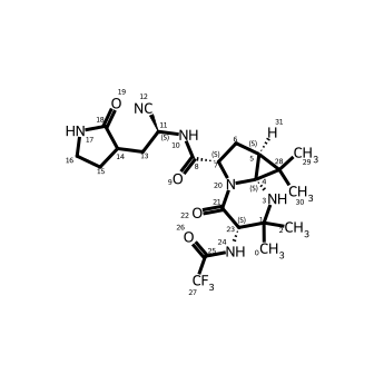 CC1(C)N[C@@]23[C@@H](C[C@@H](C(=O)N[C@H](C#N)CC4CCNC4=O)N2C(=O)[C@H]1NC(=O)C(F)(F)F)C3(C)C